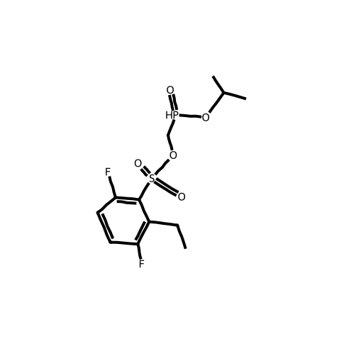 CCc1c(F)ccc(F)c1S(=O)(=O)OC[PH](=O)OC(C)C